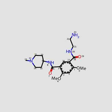 COc1cc(OC)c(C(=O)NC2CCN(C)CC2)cc1C(=O)NCCN